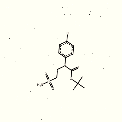 CC(C)(C)OC(=O)N(CCS(N)(=O)=O)c1ccc(Cl)cc1